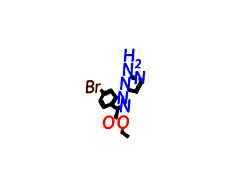 CCOC(=O)c1nn(-c2ccnc(N)n2)c2cc(Br)ccc12